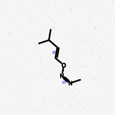 C/N=N\O/C=C/C(C)C